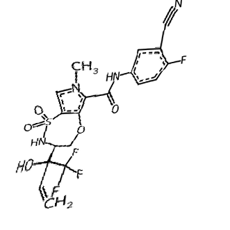 C=CC(O)([C@@H]1COc2c(cn(C)c2C(=O)Nc2ccc(F)c(C#N)c2)S(=O)(=O)N1)C(F)(F)F